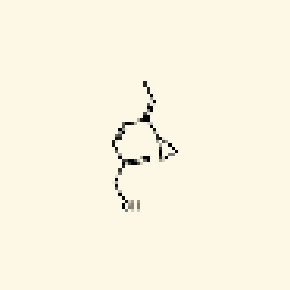 C=C(/C=C\C(=C/C)C1CC1)CO